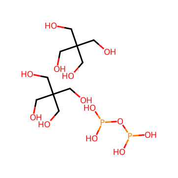 OCC(CO)(CO)CO.OCC(CO)(CO)CO.OP(O)OP(O)O